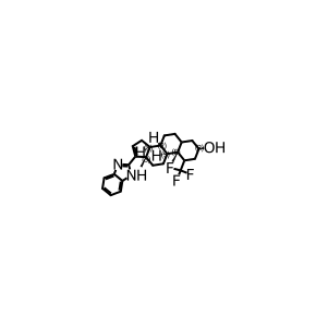 C[C@]12C(CC[C@@H]3[C@@H]1CC[C@]1(C)C(c4nc5ccccc5[nH]4)=CC[C@@H]31)C[C@@H](O)CC2C(F)(F)F